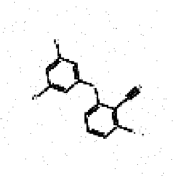 N#Cc1c(N)cccc1Sc1cc(Cl)cc(Cl)c1